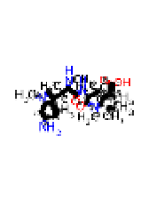 CNC(C(=O)N[C@H](C(=O)N(C)[C@H](/C=C(\C)C(=O)O)C(C)C)C(C)(C)C)C(C)(C)c1cn(C)c2cc(N)ccc12